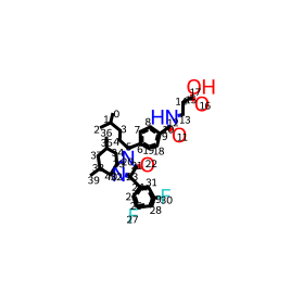 CC(C)CCC(c1ccc(C(=O)NCCC(=O)O)cc1)N1C(=O)C(c2cc(F)cc(F)c2)=NC12CC(C)CC(C)C2